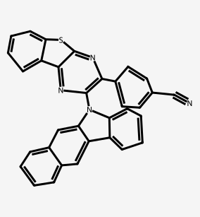 N#Cc1ccc(-c2nc3sc4ccccc4c3nc2-n2c3ccccc3c3cc4ccccc4cc32)cc1